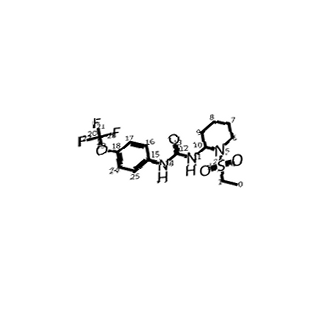 CCS(=O)(=O)N1CCCCC1NC(=O)Nc1ccc(OC(F)(F)F)cc1